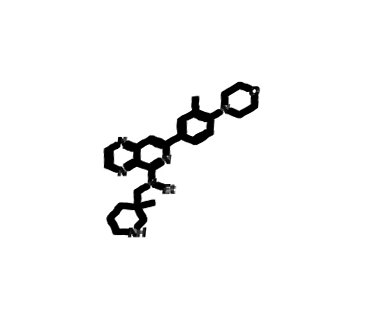 CCN(CC1(C)CCCNC1)c1nc(-c2ccc(N3CCOCC3)c(C)c2)cc2nccnc12